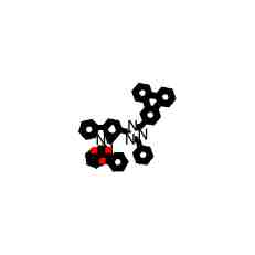 C1=C(c2nc(-c3ccccc3)nc(-c3ccc4c5ccccc5c5ccccc5c4c3)n2)C2C(n3c4ccccc4c4ccccc43)C23C(=C1)c1ccccc1N3c1ccccc1